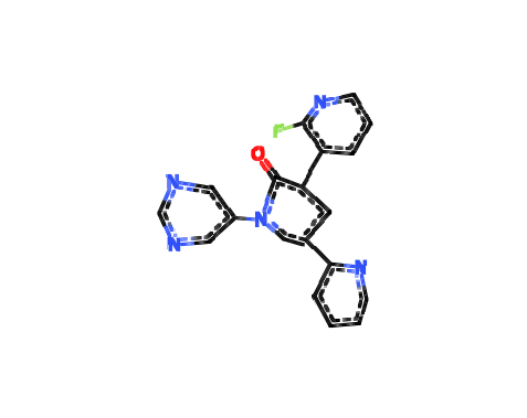 O=c1c(-c2cccnc2F)cc(-c2ccccn2)cn1-c1cncnc1